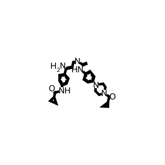 C=C(/N=C\C=C(/N)c1ccc(NC(=O)C2CC2)cc1)Nc1ccc(N2CCN(C(=O)C3CC3)CC2)cc1